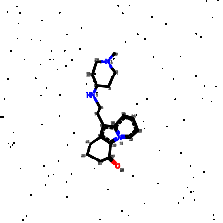 CN1CCC(NCCc2c3c(n4ccccc24)C(=O)CCC3)CC1